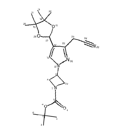 CC(C)(C)OC(=O)N1CC(n2cc(C3OC(C)(C)C(C)(C)O3)c(CC#N)n2)C1